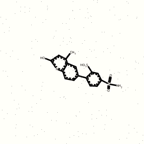 Cc1cc(O)nc2ccc(-c3ccc(S(N)(=O)=O)cc3S(=O)(=O)O)cc12